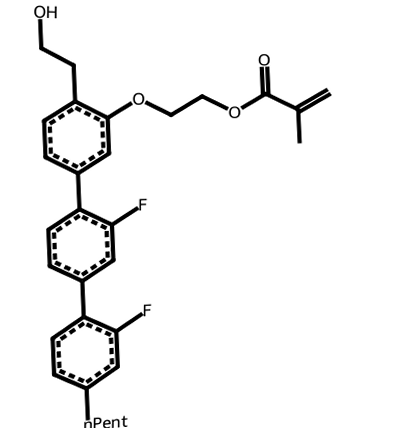 C=C(C)C(=O)OCCOc1cc(-c2ccc(-c3ccc(CCCCC)cc3F)cc2F)ccc1CCO